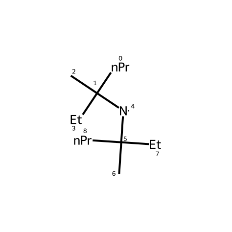 CCCC(C)(CC)[N]C(C)(CC)CCC